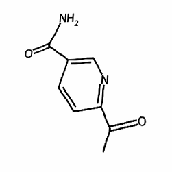 CC(=O)c1ccc(C(N)=O)cn1